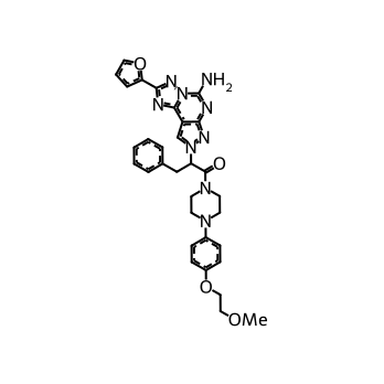 COCCOc1ccc(N2CCN(C(=O)C(Cc3ccccc3)n3cc4c(nc(N)n5nc(-c6ccco6)nc45)n3)CC2)cc1